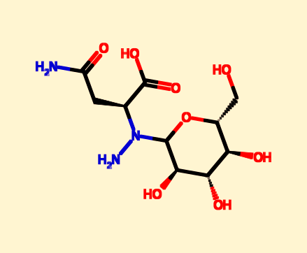 NC(=O)C[C@@H](C(=O)O)N(N)C1O[C@H](CO)[C@@H](O)[C@H](O)[C@H]1O